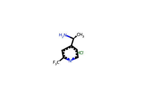 C[C@H](N)c1ccnc(C(F)(F)F)c1.Cl